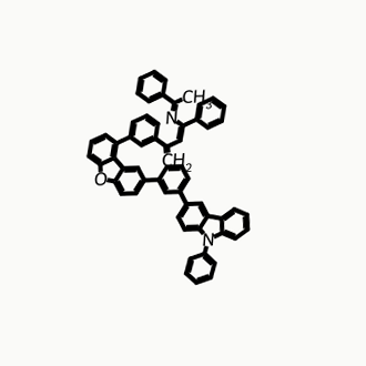 C=C(/C=C(\N=C(/C)c1ccccc1)c1ccccc1)c1cccc(-c2cccc3oc4ccc(-c5cccc(-c6ccc7c(c6)c6ccccc6n7-c6ccccc6)c5)cc4c23)c1